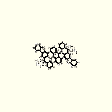 CC1(C)c2ccccc2N(c2c3ccccc3c(N3c4ccccc4C(C)(C)c4cc5c(cc43)sc3ccccc35)c3ccccc23)c2cc3sc4ccccc4c3cc21